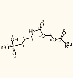 CCCCP(=O)(O)CCCNC(=O)OCOC(=O)C(C)(C)C